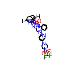 NC(=O)C12CC3C[C@H](C1)C(NC(=O)N1CCN(c4ccc(N5CCN(S(=O)(=O)C(F)F)CC5)cn4)c4ccccc41)[C@@H](C3)C2